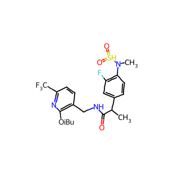 CC(C)COc1nc(C(F)(F)F)ccc1CNC(=O)C(C)c1ccc(N(C)[SH](=O)=O)c(F)c1